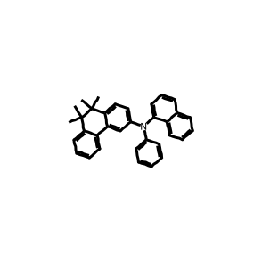 CC1(C)c2ccccc2-c2cc(N(c3ccccc3)c3cccc4ccccc34)ccc2C1(C)C